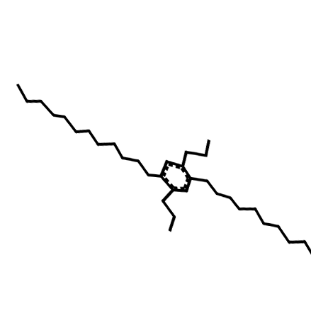 CCCCCCCCCCCCc1cc(CCC)c(CCCCCCCCCCCC)cc1CCC